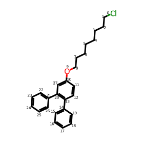 ClCCCCCCCCOc1ccc(-c2ccccc2)c(-c2ccccc2)c1